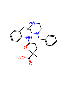 CC(C)(CCC(=O)Nc1ccccc1C[C@H]1CN(Cc2ccccc2)CCN1)C(=O)O